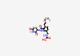 CO/C=C/c1ccc(CNC(=O)O)cc1C(=O)NC1CCC(=O)NC1=O